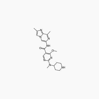 COc1nc(N(C)C2CCNCC2)ncc1C(=O)Nc1cn2cc(C)nc2c(C)n1